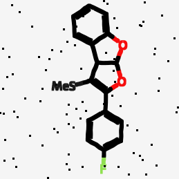 CSC1=C(c2ccc(F)cc2)OC2Oc3ccccc3C12